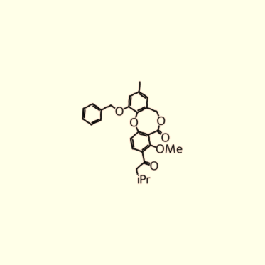 COc1c(C(=O)CC(C)C)ccc2c1C(=O)OCc1cc(C)cc(OCc3ccccc3)c1O2